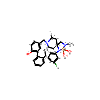 CCc1ccccc1-c1cc(CN2CC[C@@]3(C[C@@H]2C)CN(C)S(O)(O)N3c2cccc(F)c2)ccc1O